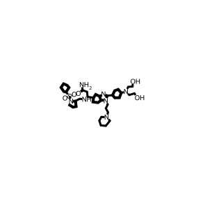 NC(=O)CC(NCc1cccn1S(=O)(=O)c1ccccc1)c1ccc2c(c1)nc(-c1ccc(N(CCO)CCO)cc1)n2CCCN1CCCCC1